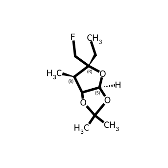 CC[C@@]1(CF)O[C@H]2OC(C)(C)OC2[C@H]1C